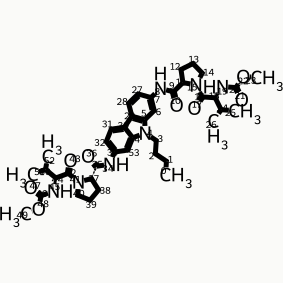 CCCCn1c2cc(NC(=O)C3CCCN3C(=O)[C@@H](NC(=O)OC)C(C)C)ccc2c2ccc(NC(=O)[C@@H]3CCCN3C(=O)[C@@H](NC(=O)OC)C(C)C)cc21